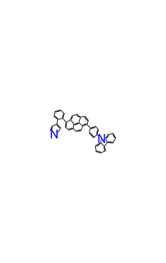 c1ccc(-c2ccc3ccc4c(-c5ccc(-n6c7ccccc7c7ccccc76)cc5)ccc5ccc2c3c54)c(-c2ccncc2)c1